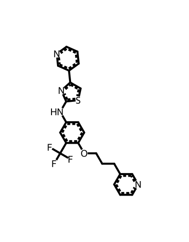 FC(F)(F)c1cc(Nc2nc(-c3cccnc3)cs2)ccc1OCCCc1cccnc1